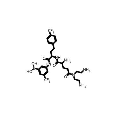 NCCN(CCN)C(=O)CCC(N)C(=O)NC(CCc1ccc(C(F)(F)F)cc1)C(=O)Nc1cc(B(O)O)cc(C(F)(F)F)c1